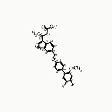 COc1cc(F)c(F)cc1-c1ccc(OCc2ccc3c(C(C)CC(=O)O)c[nH]c3c2)cc1